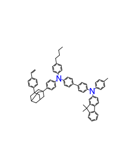 C=Cc1ccc(C23CC4CC(C2)CC(c2ccc(N(c5ccc(CCCC)cc5)c5ccc(-c6ccc(N(c7ccc(C)cc7)c7ccc8c(c7)C(C)(C)c7ccccc7-8)cc6)cc5)cc2)(C4)C3)cc1